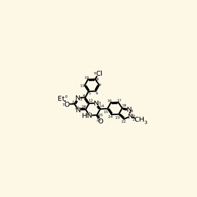 CCOc1nc(-c2ccc(Cl)cc2)c2nc(-c3ccc4nn(C)cc4c3)c(=O)[nH]c2n1